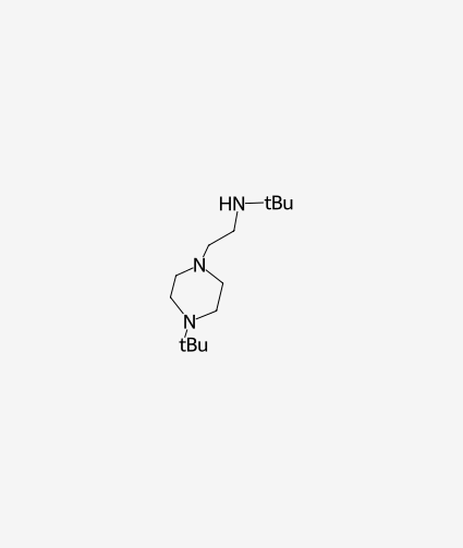 CC(C)(C)NCCN1CCN(C(C)(C)C)CC1